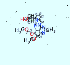 COCCOc1cc2c(NCc3cccc(C(F)(F)C(C)(C)O)n3)nc(C)nc2cc1OC